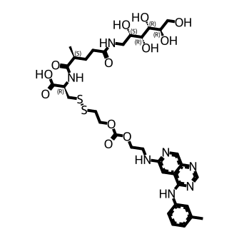 Cc1cccc(Nc2ncnc3cnc(NCCOC(=O)OCCSSC[C@H](NC(=O)[C@@H](C)CCC(=O)NC[C@H](O)[C@@H](O)[C@H](O)[C@H](O)CO)C(=O)O)cc23)c1